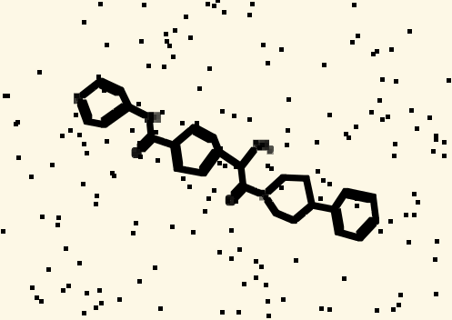 NC(C(=O)N1CCC(c2ccccc2)CC1)c1ccc(C(=O)Nc2ccncc2)cc1